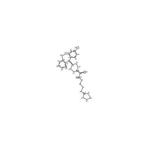 O=C(NCCCCN1CCCC1)N1CCC(=C2c3ccc(Cl)cc3CCc3cccnc32)CC1